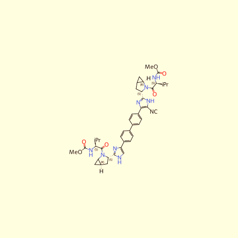 [C-]#[N+]c1[nH]c([C@@H]2CC3C[C@H]3N2C(=O)[C@@H](NC(=O)OC)C(C)C)nc1-c1ccc(-c2ccc(-c3c[nH]c([C@@H]4C[C@H]5CC5N4C(=O)[C@@H](NC(=O)OC)C(C)C)n3)cc2)cc1